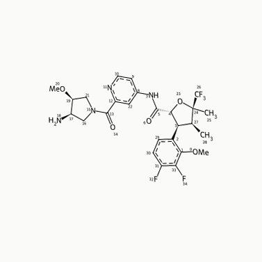 COc1c([C@H]2[C@H](C(=O)Nc3ccnc(C(=O)N4C[C@@H](N)[C@@H](OC)C4)c3)O[C@@](C)(C(F)(F)F)[C@H]2C)ccc(F)c1F